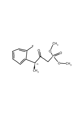 COP(=O)(CC(=O)[C@@H](C)c1ccccc1F)OC